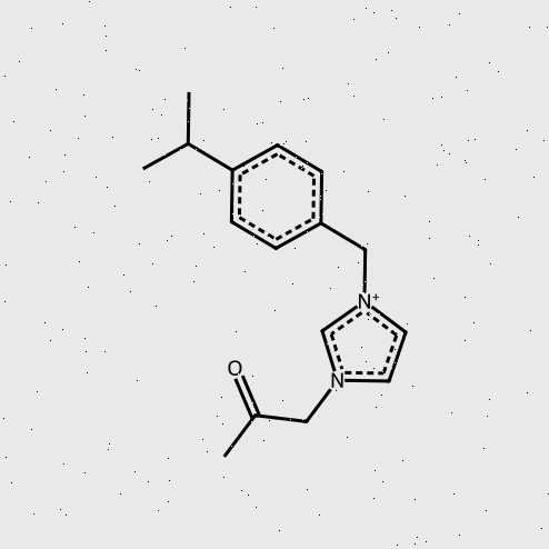 CC(=O)Cn1cc[n+](Cc2ccc(C(C)C)cc2)c1